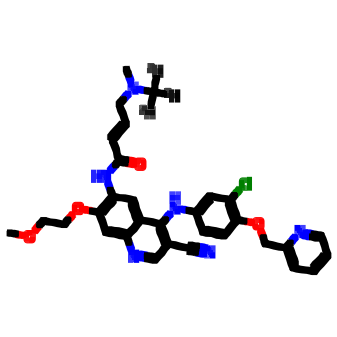 [2H]C([2H])([2H])N(C)C/C=C/C(=O)Nc1cc2c(Nc3ccc(OCc4ccccn4)c(Cl)c3)c(C#N)cnc2cc1OCCOC